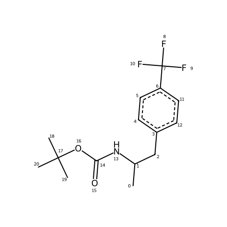 C[C](Cc1ccc(C(F)(F)F)cc1)NC(=O)OC(C)(C)C